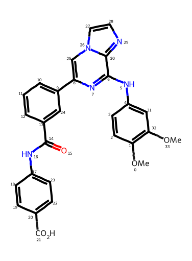 COc1ccc(Nc2nc(-c3cccc(C(=O)Nc4ccc(C(=O)O)cc4)c3)cn3ccnc23)cc1OC